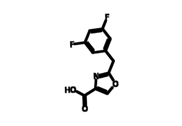 O=C(O)c1coc(Cc2cc(F)cc(F)c2)n1